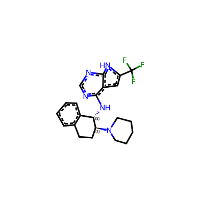 FC(F)(F)c1cc2c(N[C@H]3c4ccccc4CC[C@@H]3N3CCCCC3)ncnc2[nH]1